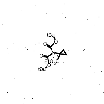 CCOC(=O)C1(N(C(=O)OC(C)(C)C)C(=O)OC(C)(C)C)CC1